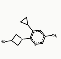 Cc1cnc(N2CC(O)C2)c(C2CC2)c1